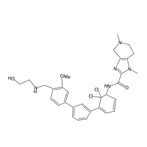 COc1cc(-c2cccc(C3=CC=CC(NC(=O)c4nc5c(n4C)CCN(C)C5)C3(Cl)Cl)c2)ccc1CNCCO